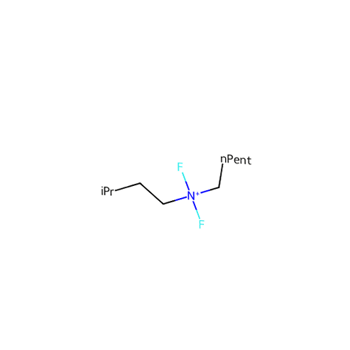 CCCCCC[N+](F)(F)CCC(C)C